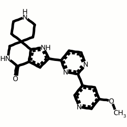 COc1cncc(-c2nccc(-c3cc4c([nH]3)C3(CCNCC3)CNC4=O)n2)c1